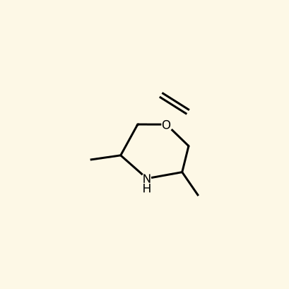 C=C.CC1COCC(C)N1